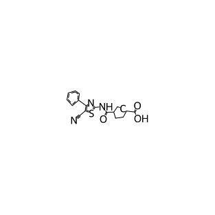 N#Cc1sc(NC(=O)C2CCC(C(=O)O)CC2)nc1-c1ccccc1